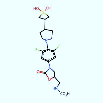 O=C(O)NCC1CN(c2cc(F)c(N3CCC(C4CS(O)(O)C4)CC3)c(F)c2)C(=O)O1